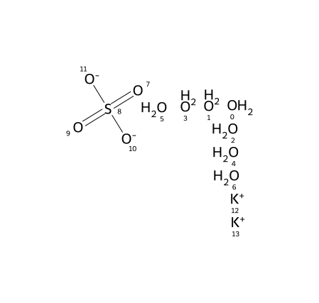 O.O.O.O.O.O.O.O=S(=O)([O-])[O-].[K+].[K+]